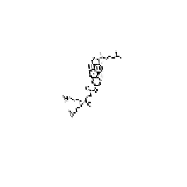 CC(C)CCCC(C)[C@H]1CC[C@H]2[C@@H]3CC=C4C[C@@H](OC(=O)CCC(=O)N(CCCN(C)C)CCCN(C)C)CC[C@]4(C)[C@H]3CC[C@]12C